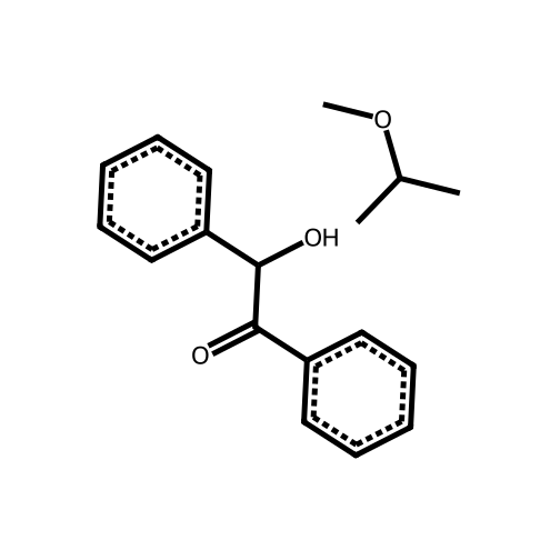 COC(C)C.O=C(c1ccccc1)C(O)c1ccccc1